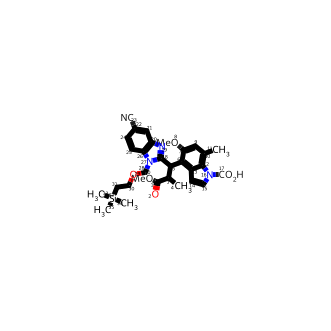 COC(=O)C(C)C(c1c(OC)cc(C)c2c1ccn2C(=O)O)c1nc2cc(C#N)ccc2n1COCC[Si](C)(C)C